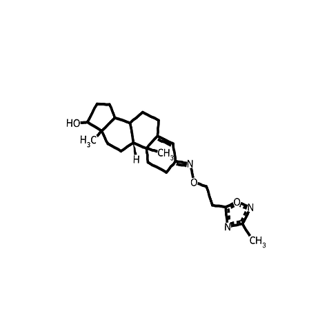 Cc1noc(CCON=C2C=C3CCC4C5CCC(O)C5(C)CC[C@H]4C3(C)CC2)n1